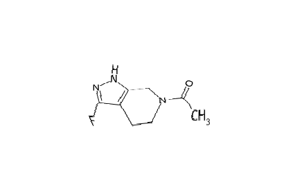 CC(=O)N1CCc2c(F)n[nH]c2C1